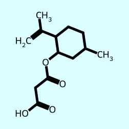 C=C(C)C1CCC(C)CC1OC(=O)CC(=O)O